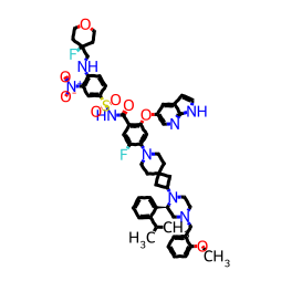 COc1ccccc1CN1CCN(C2CC3(CCN(c4cc(Oc5cnc6[nH]ccc6c5)c(C(=O)NS(=O)(=O)c5ccc(NCC6(F)CCOCC6)c([N+](=O)[O-])c5)cc4F)CC3)C2)[C@H](c2ccccc2C(C)C)C1